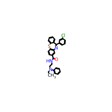 CCN(CCNC(=O)c1ccc2c(c1)N=C(c1cccc(Cl)c1)c1ccccc1S2)c1ccccc1